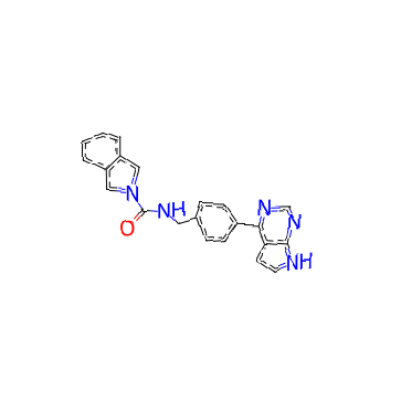 O=C(NCc1ccc(-c2ncnc3[nH]ccc23)cc1)n1cc2ccccc2c1